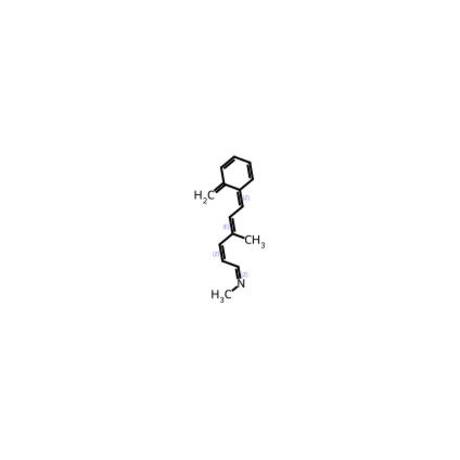 C=c1cccc/c1=C/C=C(C)/C=C\C=N/C